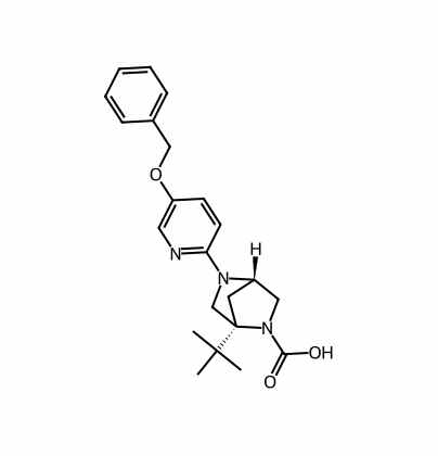 CC(C)(C)[C@]12C[C@@H](CN1C(=O)O)N(c1ccc(OCc3ccccc3)cn1)C2